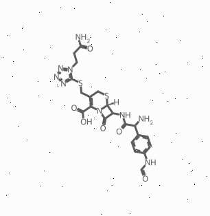 NC(=O)CCn1nnnc1SCC1=C(C(=O)O)N2C(=O)C(NC(=O)C(N)c3ccc(NC=O)cc3)[C@H]2SC1